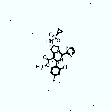 COC(=O)C1=C2C[C@H](NS(=O)(=O)C3CC3)CN2C(c2nccs2)=N[C@H]1c1ccc(F)cc1Cl